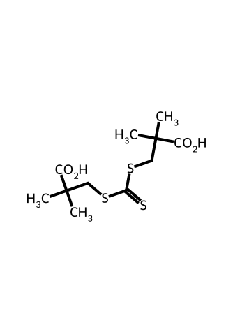 CC(C)(CSC(=S)SCC(C)(C)C(=O)O)C(=O)O